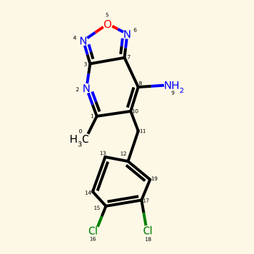 Cc1nc2nonc2c(N)c1Cc1ccc(Cl)c(Cl)c1